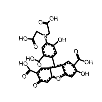 O=C(O)CN(CC(=O)O)c1cc(C(=O)O)c(-c2c3cc(C(=O)O)c(=O)cc-3oc3cc(O)c(C(=O)O)cc23)cc1O